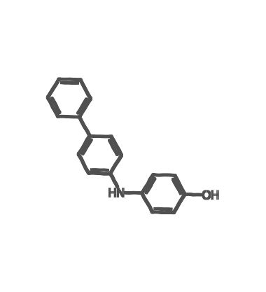 Oc1ccc(Nc2ccc(-c3ccccc3)cc2)cc1